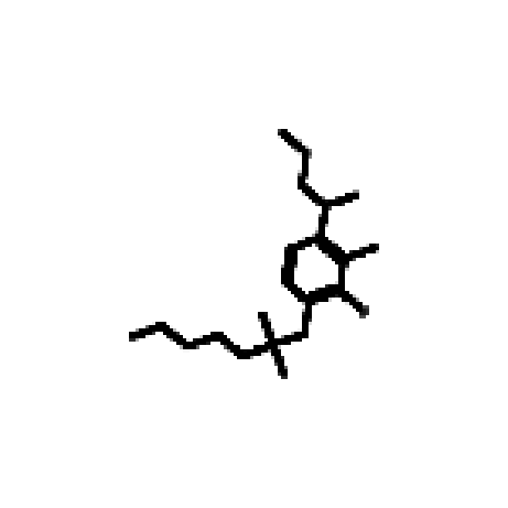 CCCCCC(C)(C)Cc1ccc(C(C)CCC)c(C)c1F